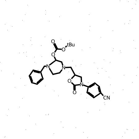 CC(C)(C)OC(=O)OC1CN(CC2CN(c3ccc(C#N)cc3)C(=O)O2)CCN1Cc1ccccc1